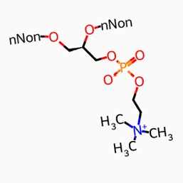 CCCCCCCCCOC[C@H](COP(=O)([O-])OCC[N+](C)(C)C)OCCCCCCCCC